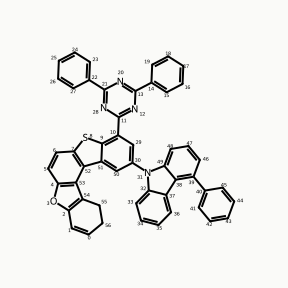 C1=Cc2oc3ccc4sc5c(-c6nc(-c7ccccc7)nc(-c7ccccc7)n6)cc(-n6c7ccccc7c7c(-c8ccccc8)cccc76)cc5c4c3c2CC1